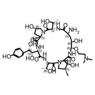 C[C@@H](O)[C@@H]1NC(=O)[C@H]([C@H](O)[C@@H](O)c2ccc(O)cc2)NC(=O)[C@@H]2C[C@@H](O)CN2C(=O)[C@H]([C@@H](C)O)NC(=O)[C@@H](N)C[C@@H](O)[C@@H](OCCN(C)C)NC(=O)[C@@H]2[C@@H](O)[C@@H](C)CN2C1=O